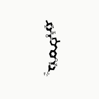 Cc1cnc(NC(=O)N2CCC(=Cc3cccc(Oc4ncc(C(F)(F)F)cn4)c3)C(C)C2)cn1